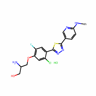 CC(C)Nc1ccc(-c2nnc(-c3cc(F)c(OCC(N)CO)cc3Cl)s2)cn1.Cl